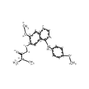 COc1ccc(Nc2ncnc3cc(OC)c(OCC(=O)N(C)C)cc23)cc1